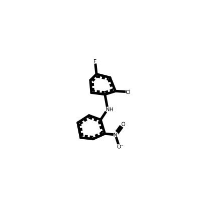 O=[N+]([O-])c1ccccc1Nc1ccc(F)cc1Cl